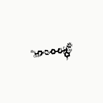 CCC(C)C(O)c1ccc(N2CCN(c3ccc(-c4ccc(C(F)(F)[C@](O)(Cn5cnnn5)c5ccc(F)cc5F)nc4)cc3)CC2)cn1